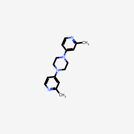 Cc1cc(N2CCN(c3ccnc(C)c3)CC2)ccn1